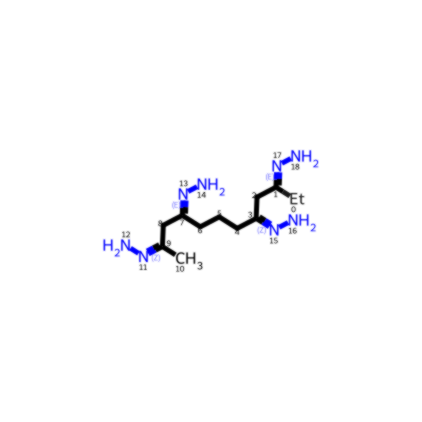 CC/C(C/C(CCC/C(C/C(C)=N\N)=N\N)=N\N)=N\N